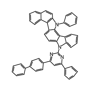 c1ccc(-c2ccc(-c3cc(-c4ccccc4)nc(-n4c5ccccc5c5c4ccc4c6c7ccccc7ccc6n(-c6ccccc6)c45)n3)cc2)cc1